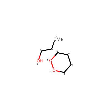 C1CCOOC1.COCCO